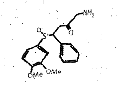 COc1ccc([S+]([O-])C(CC(=O)CN)c2ccccc2)cc1OC